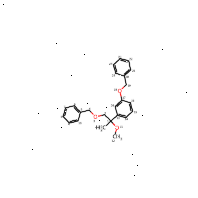 [CH2]C(COCc1ccccc1)(OC)c1cccc(OCc2ccccc2)c1